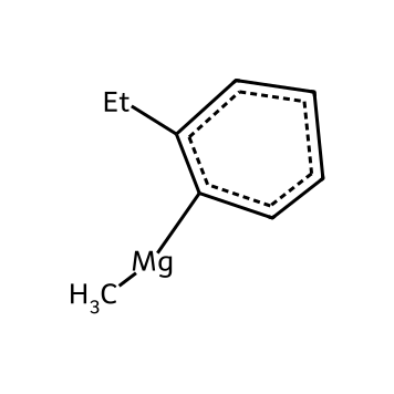 CCc1cccc[c]1[Mg][CH3]